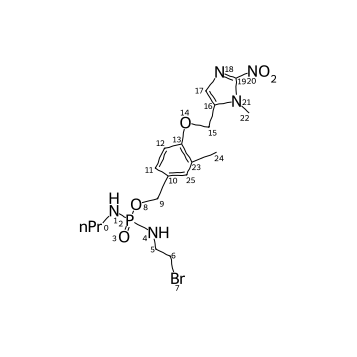 CCCNP(=O)(NCCBr)OCc1ccc(OCc2cnc([N+](=O)[O-])n2C)c(C)c1